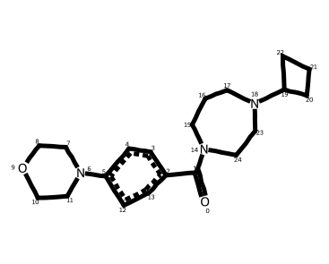 O=C(c1ccc(N2CCOCC2)cc1)N1CCCN(C2CCC2)CC1